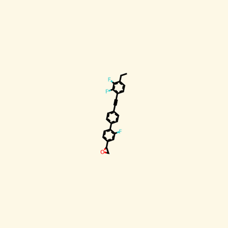 CCc1ccc(C#Cc2ccc(-c3ccc(C4CO4)cc3F)cc2)c(F)c1F